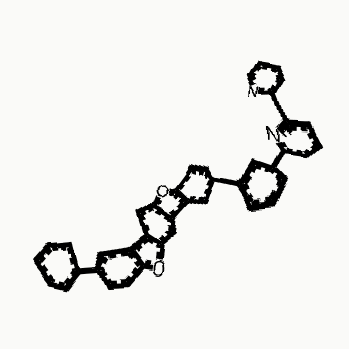 c1ccc(-c2ccc3oc4cc5c(cc4c3c2)oc2ccc(-c3cccc(-c4cccc(-c6ccccn6)n4)c3)cc25)cc1